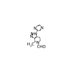 CC1c2nnn(-c3cnccn3)c2CCN1C=O